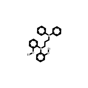 CCOc1ccccc1P(CCCP(c1ccccc1)c1ccccc1)c1ccccc1OCC